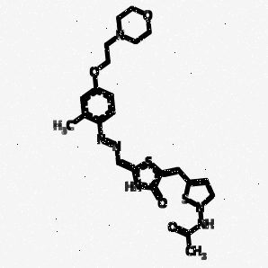 CC(=O)NN1CC=C(C=c2s/c(=C\N=Nc3ccc(OCCN4CCOCC4)cc3C)[nH]c2=O)S1